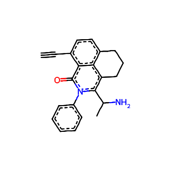 C#Cc1ccc2c3c(c(C(C)N)n(-c4ccccc4)c(=O)c13)CCC2